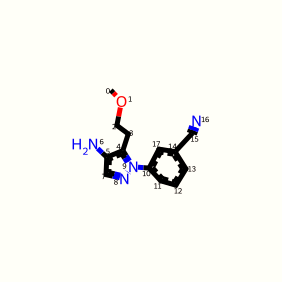 COCCc1c(N)cnn1-c1cccc(C#N)c1